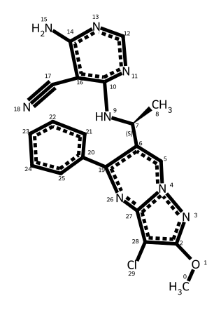 COc1nn2cc([C@H](C)Nc3ncnc(N)c3C#N)c(-c3ccccc3)nc2c1Cl